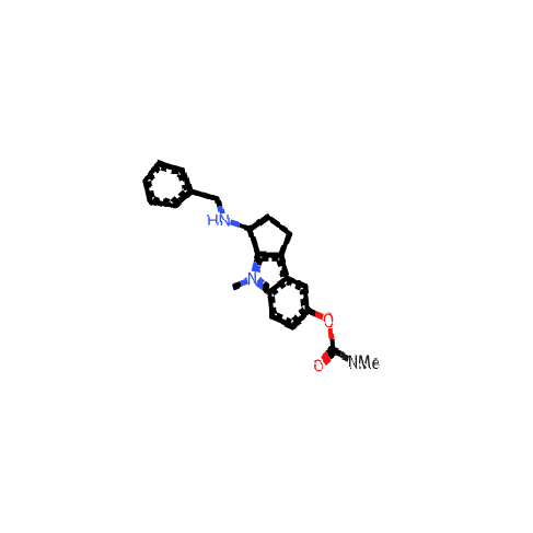 CNC(=O)Oc1ccc2c(c1)c1c(n2C)C(NCc2ccccc2)CC1